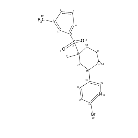 CC1(S(=O)(=O)c2cccc(C(F)(F)F)c2)CCOC(c2ccc(Br)nc2)C1